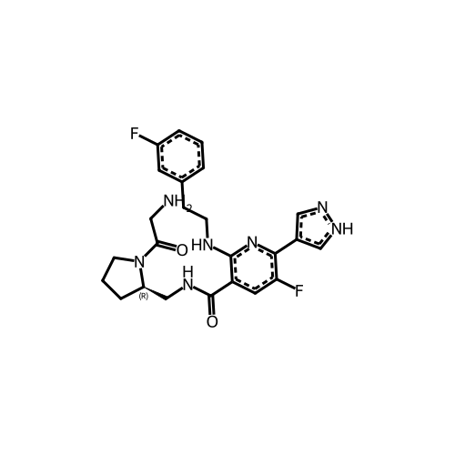 NCC(=O)N1CCC[C@@H]1CNC(=O)c1cc(F)c(-c2cn[nH]c2)nc1NCCc1cccc(F)c1